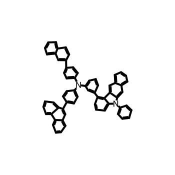 c1ccc(-n2c3cc4ccccc4cc3c3c(-c4cccc(N(c5ccc(-c6ccc7ccccc7c6)cc5)c5ccc(-c6cc7ccccc7c7ccccc67)cc5)c4)cccc32)cc1